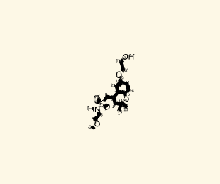 COCCNS(=O)(=O)CC1CC(C)(C)Oc2ccc(OCCO)cc21